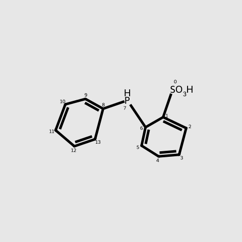 O=S(=O)(O)c1ccccc1Pc1ccccc1